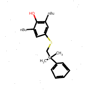 CCCCc1cc(SC[Si](C)(C)c2ccccc2)cc(CCCC)c1O